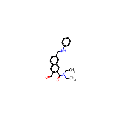 CCN(CC)C(=O)c1cc2cc(CNc3ccccc3)ccc2cc1C=O